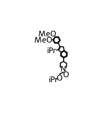 COc1ccc(C2=C(C(C)C)c3cc(C4CCN(C(=O)COC(C)C)CC4)ccc3C2)cc1OC